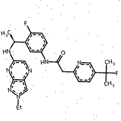 CCn1cc2ncc(N[C@@H](C)c3cc(NC(=O)Cc4ccc(C(C)(C)F)cn4)ccc3F)nc2n1